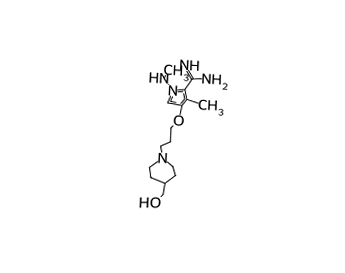 CNn1cc(OCCCN2CCC(CO)CC2)c(C)c1C(=N)N